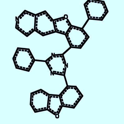 c1ccc(-c2nc(-c3cccc4oc5ccccc5c34)nc(-c3ccc(-c4ccccc4)c4oc5cc6cnccc6cc5c34)n2)cc1